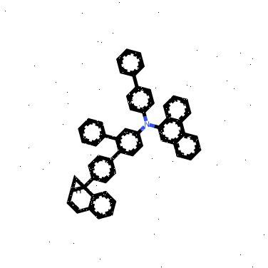 C1=C[C@H]2CC2(c2ccc(-c3ccc(N(c4ccc(-c5ccccc5)cc4)c4cc5ccccc5c5ccccc45)cc3-c3ccccc3)cc2)c2ccccc21